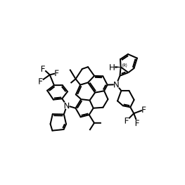 CC(C)C1=CC(N(C2=CCCC=C2)c2ccc(C(F)(F)F)cc2)=C2C=C3c4c(cc(N(C5=C6C=CC=C[C@H]65)C5CC=C(C(F)(F)F)CC5)c5c4C2C1CC5)CCC3(C)C